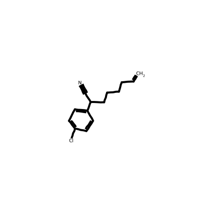 C=CCCCCC(C#N)c1ccc(Cl)cc1